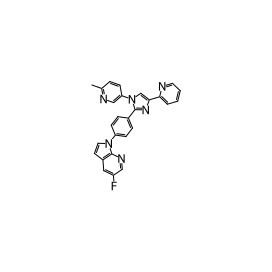 Cc1ccc(-n2cc(-c3ccccn3)nc2-c2ccc(-n3ccc4cc(F)cnc43)cc2)cn1